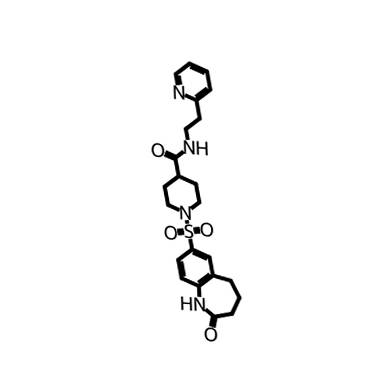 O=C1CCCc2cc(S(=O)(=O)N3CCC(C(=O)NCCc4ccccn4)CC3)ccc2N1